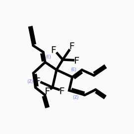 C=C/C=C\C(=C/C=C)C(C(/C=C\C=C)=C/C=C)(C(F)(F)F)C(F)(F)F